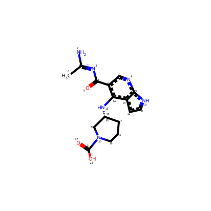 C/C(N)=N\C(=O)c1cnc2[nH]ccc2c1N[C@@H]1CCCN(C(=O)O)C1